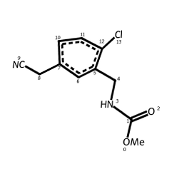 COC(=O)NCc1cc(CC#N)ccc1Cl